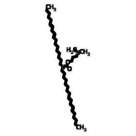 CCCCCC=CCC=CCCCCCCCCN(CCCCCCCCC=CCC=CCCCCC)C(=O)OCCCN(C)C